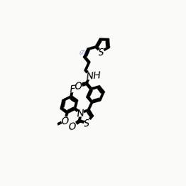 COc1ccc(F)cc1-n1c(-c2cccc(C(=O)NCC/C=C\c3cccs3)c2)csc1=O